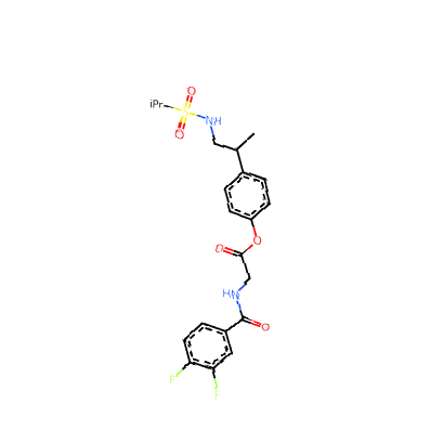 CC(CNS(=O)(=O)C(C)C)c1ccc(OC(=O)CNC(=O)c2ccc(F)c(F)c2)cc1